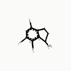 NC1CCc2c(F)cc(F)c(F)c21